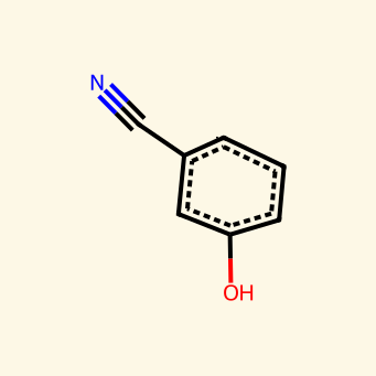 N#Cc1[c]ccc(O)c1